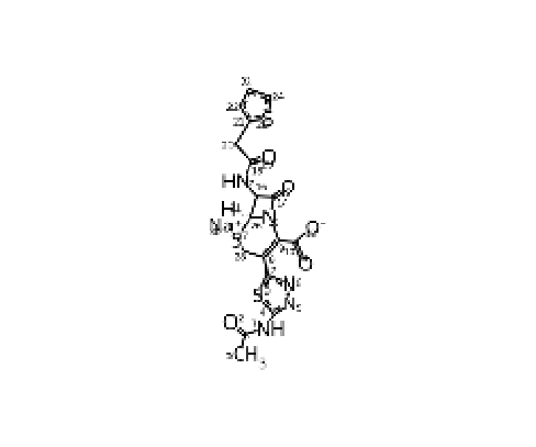 CC(=O)Nc1nnc(C2=C(C(=O)[O-])N3C(=O)C(NC(=O)Cc4cccs4)[C@@H]3SC2)s1.[Na+]